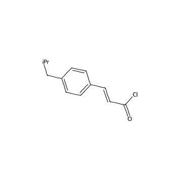 CC(C)Cc1ccc(C=CC(=O)Cl)cc1